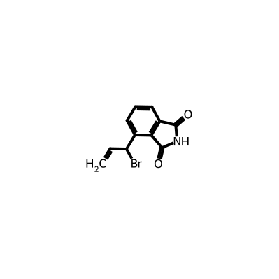 C=CC(Br)c1cccc2c1C(=O)NC2=O